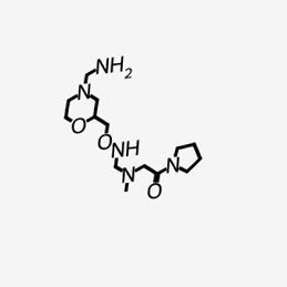 CN(CNOCC1CN(CN)CCO1)CC(=O)N1CCCC1